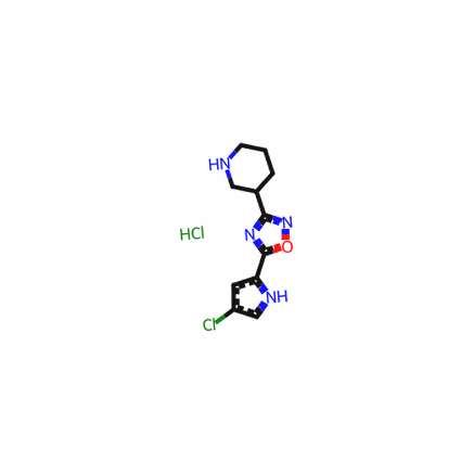 Cl.Clc1c[nH]c(-c2nc(C3CCCNC3)no2)c1